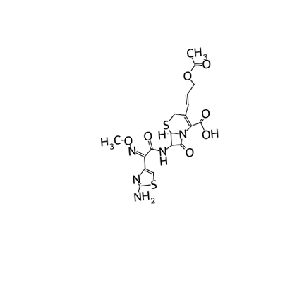 CO/N=C(\C(=O)NC1C(=O)N2C(C(=O)O)=C(/C=C/COC(C)=O)CS[C@H]12)c1csc(N)n1